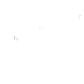 FCCOc1[c]cccn1